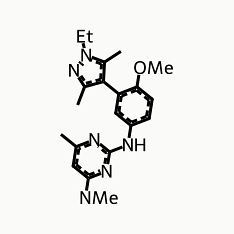 CCn1nc(C)c(-c2cc(Nc3nc(C)cc(NC)n3)ccc2OC)c1C